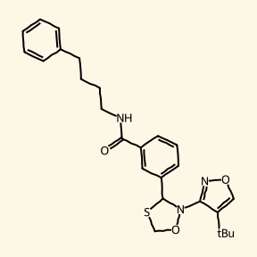 CC(C)(C)c1conc1N1OCSC1c1cccc(C(=O)NCCCCc2ccccc2)c1